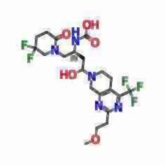 COCCc1nc2c(c(C(F)(F)F)n1)CCN(C(O)C[C@@H](CN1CC(F)(F)CCC1=O)NC(=O)O)C2